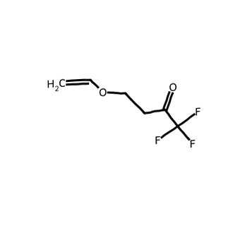 C=COCCC(=O)C(F)(F)F